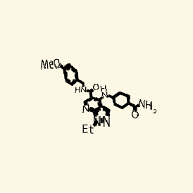 CCn1ncc2c(NC3CCC(C(N)=O)CC3)c(C(=O)NCc3ccc(OC)cc3)cnc21